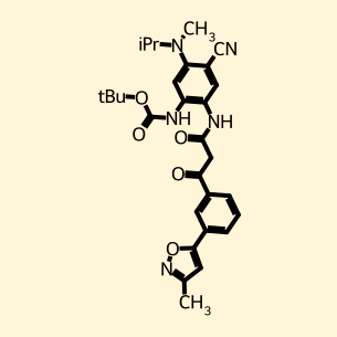 Cc1cc(-c2cccc(C(=O)CC(=O)Nc3cc(C#N)c(N(C)C(C)C)cc3NC(=O)OC(C)(C)C)c2)on1